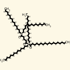 CCCCCCCCCCCCCCCCCC(=O)[N+](CCCCCCCCCCCCCC)(CCCCCCCCCCCCCC)C(=O)CCCC(=O)N(CCCCCCCCCCCCCC)CCCCCCCCCCCCCC